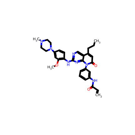 C=CC(=O)Nc1cccc(-n2c(=O)cc(CCC)c3cnc(Nc4ccc(N5CCN(C)CC5)cc4OC)nc32)c1